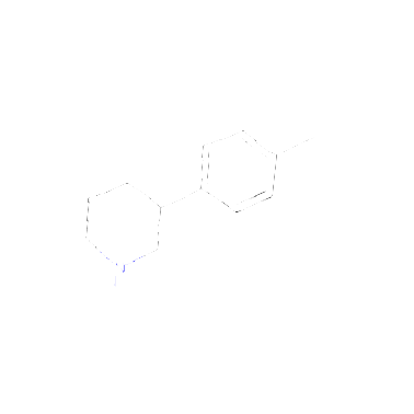 CCc1ccc(C2CCCNC2)cc1